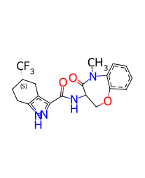 CN1C(=O)C(NC(=O)c2n[nH]c3c2C[C@@H](C(F)(F)F)CC3)COc2ccccc21